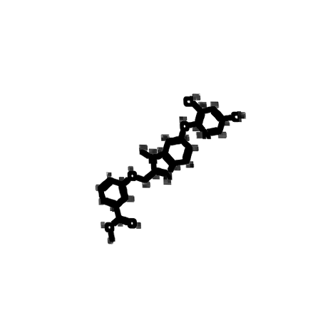 COC(=O)c1cccc(OCc2nc3ccc(Oc4ncc(Cl)cc4Cl)cc3n2C)c1